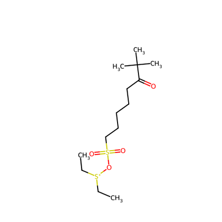 CC[S+](CC)OS(=O)(=O)CCCCCC(=O)C(C)(C)C